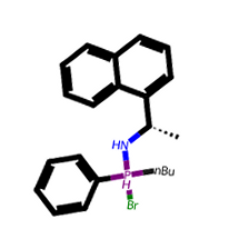 CCCC[PH](Br)(N[C@@H](C)c1cccc2ccccc12)c1ccccc1